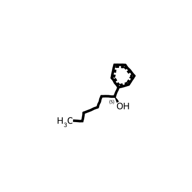 CCCCC[C@H](O)c1ccccc1